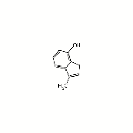 CC1=CCc2c(O)cccc21